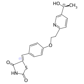 C[C@H](O)c1ccc(CCOc2ccc(/C=C3\SC(=O)NC3=O)cc2)nc1